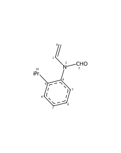 C=CN(C=O)c1ccccc1C(C)C